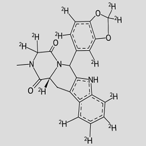 [2H]c1c([2H])c(C2c3[nH]c4c([2H])c([2H])c([2H])c([2H])c4c3C[C@]3([2H])C(=O)N(C)C([2H])([2H])C(=O)N23)c([2H])c2c1OC([2H])([2H])O2